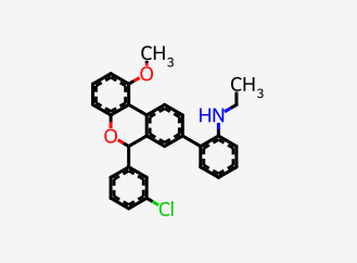 CCNc1ccccc1-c1ccc2c(c1)C(c1cccc(Cl)c1)Oc1cccc(OC)c1-2